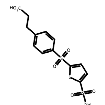 NS(=O)(=O)c1ccc(S(=O)(=O)c2ccc(CCC(=O)O)cc2)s1